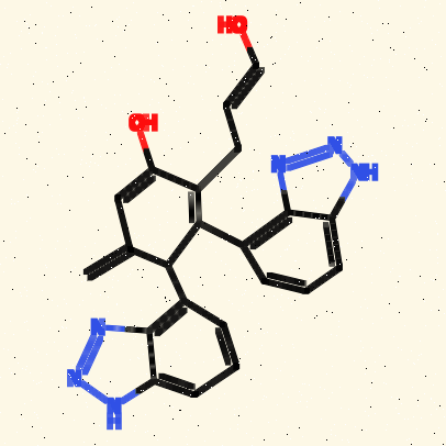 C=C1C=C(O)C(CC=CO)=C(c2cccc3[nH]nnc23)C1c1cccc2[nH]nnc12